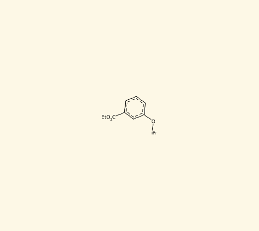 CCOC(=O)c1cccc(OC(C)C)c1